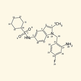 Cc1cc2cc(NS(=O)(=O)C3CCCCC3)ccc2n1Cc1ccc(F)cc1N